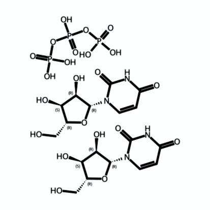 O=P(O)(O)OP(=O)(O)OP(=O)(O)O.O=c1ccn([C@@H]2O[C@H](CO)[C@@H](O)[C@H]2O)c(=O)[nH]1.O=c1ccn([C@@H]2O[C@H](CO)[C@@H](O)[C@H]2O)c(=O)[nH]1